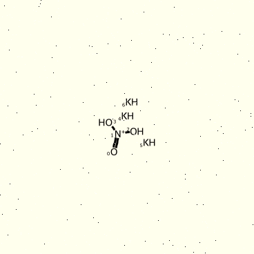 O=[N+](O)O.[KH].[KH].[KH]